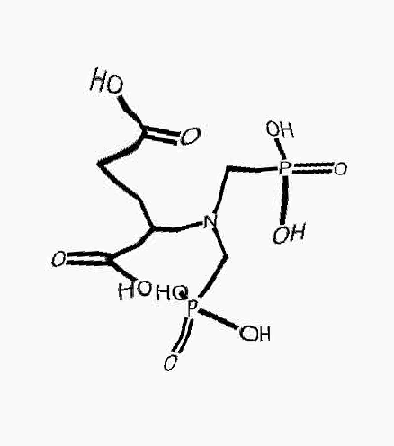 O=C(O)CC(C(=O)O)N(CP(=O)(O)O)CP(=O)(O)O